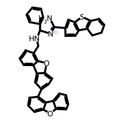 N/C(=N\C(NCc1cccc2c1oc1ccc(-c3cccc4oc5ccccc5c34)cc12)c1ccccc1)c1ccc2c3c(sc2c1)C=CCC3